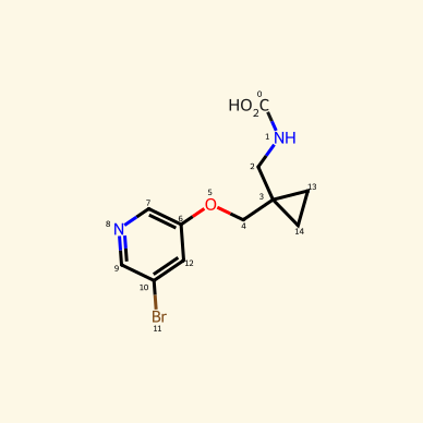 O=C(O)NCC1(COc2cncc(Br)c2)CC1